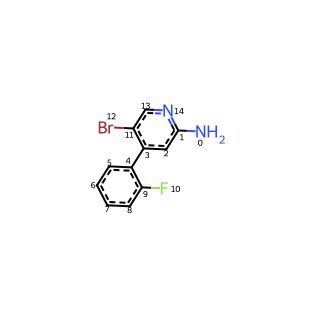 Nc1cc(-c2ccccc2F)c(Br)cn1